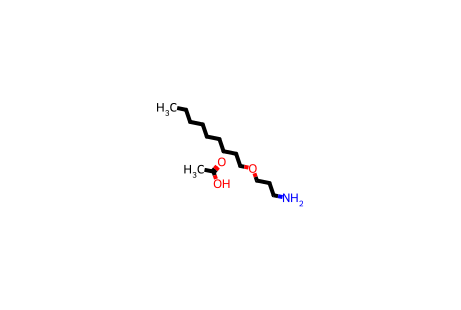 CC(=O)O.CCCCCCCCCOCCCN